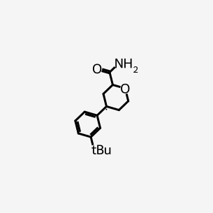 CC(C)(C)c1cccc([C]2CCOC(C(N)=O)C2)c1